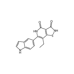 CCc1c(-c2ccc3[nH]ccc3c2)[nH]c(=O)c2c(=O)[nH]sc12